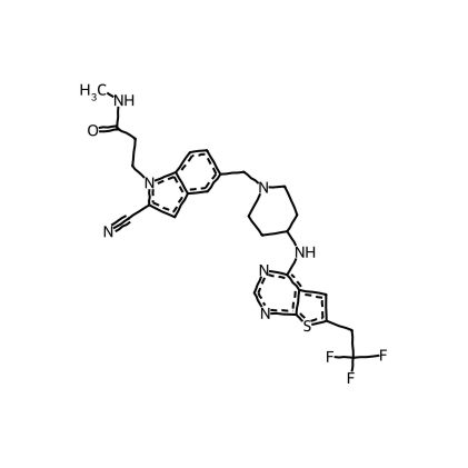 CNC(=O)CCn1c(C#N)cc2cc(CN3CCC(Nc4ncnc5sc(CC(F)(F)F)cc45)CC3)ccc21